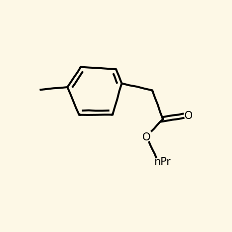 CCCOC(=O)Cc1ccc(C)cc1